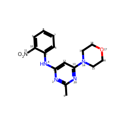 Cc1nc(Nc2ccccc2[N+](=O)[O-])cc(N2CCOCC2)n1